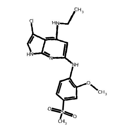 CCNc1cc(Nc2ccc(S(C)(=O)=O)cc2OC)nc2[nH]cc(Cl)c12